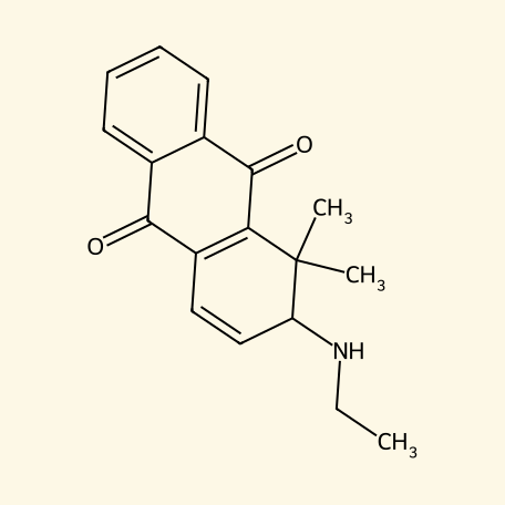 CCNC1C=CC2=C(C(=O)c3ccccc3C2=O)C1(C)C